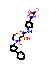 O=C(Nc1ccc(-c2noc(=O)[nH]2)cc1)[C@H](O)[C@H]1OCCN(c2cccc(-c3ccccc3)c2)C1=O